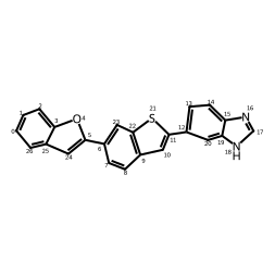 c1ccc2oc(-c3ccc4cc(-c5ccc6nc[nH]c6c5)sc4c3)cc2c1